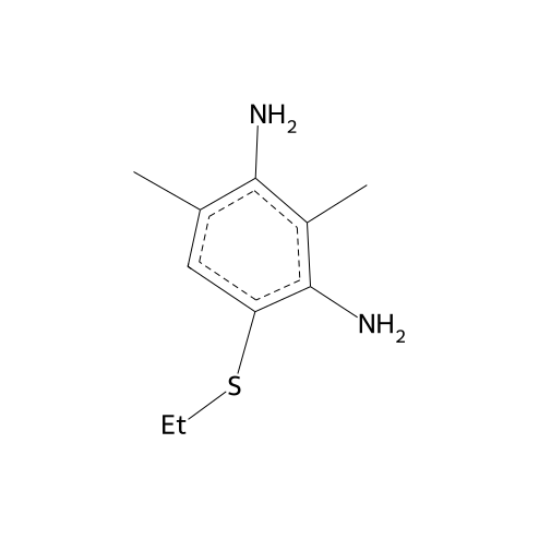 CCSc1cc(C)c(N)c(C)c1N